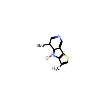 CCCCC1C=NC=C2C1=[N+]([O-])c1c(C)csc12